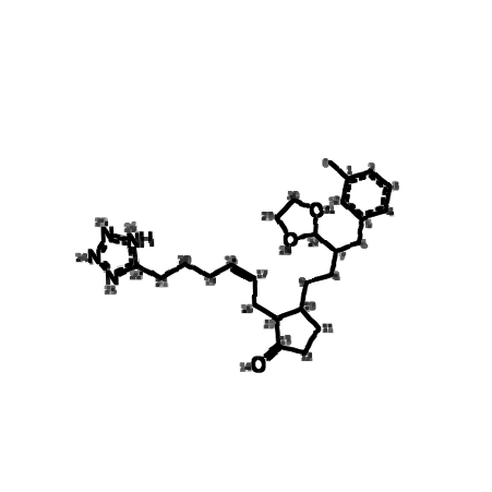 Cc1cccc(CC(CCC2CCC(=O)C2C/C=C\CCCc2nnn[nH]2)C2OCCO2)c1